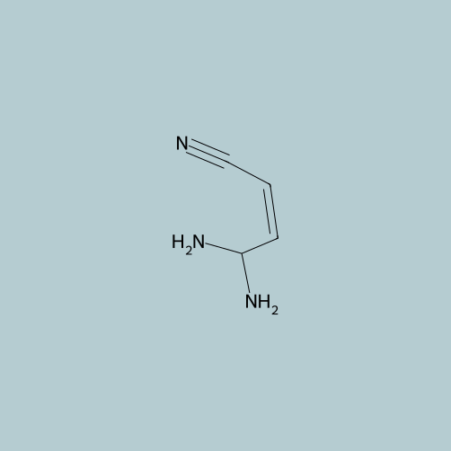 N#C/C=C\C(N)N